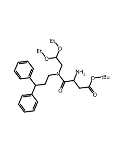 CCOC(CN(CCC(c1ccccc1)c1ccccc1)C(=O)C(N)CC(=O)OC(C)(C)C)OCC